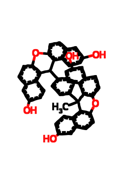 CC1(c2ccc(C3c4c(ccc5cc(O)ccc45)Oc4ccc5cc(O)ccc5c43)cc2)c2c(ccc3cc(O)ccc23)Oc2ccc3cc(O)ccc3c21